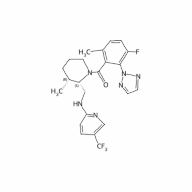 Cc1ccc(F)c(-n2nccn2)c1C(=O)N1CCC[C@@H](C)[C@H]1CNc1ccc(C(F)(F)F)cn1